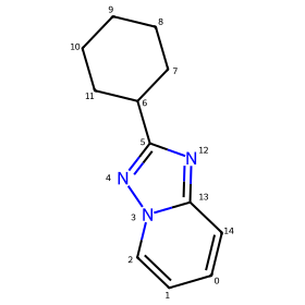 c1ccn2nc(C3CCCCC3)nc2c1